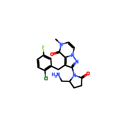 Cn1ccn2nc(N3C(=O)CCC3CN)c(Cc3cc(F)ccc3Cl)c2c1=O